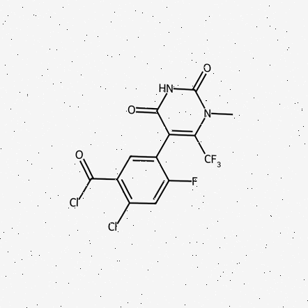 Cn1c(C(F)(F)F)c(-c2cc(C(=O)Cl)c(Cl)cc2F)c(=O)[nH]c1=O